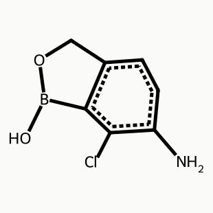 Nc1ccc2c(c1Cl)B(O)OC2